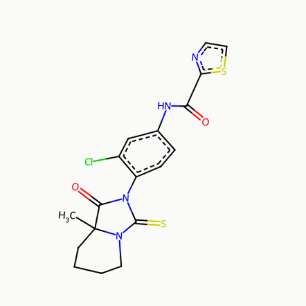 CC12CCCCN1C(=S)N(c1ccc(NC(=O)c3nccs3)cc1Cl)C2=O